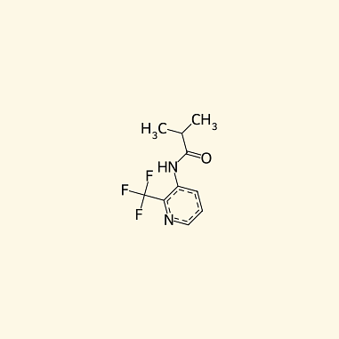 CC(C)C(=O)Nc1cccnc1C(F)(F)F